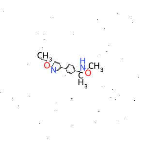 CCCOc1ccc(-c2ccc(C(C)NC(C)=O)cc2)cn1